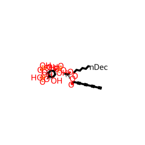 C#CC#CC#CC#CC(=O)OC[C@H](COP(=O)(O)OC1CC(O)[C@@H](OP(=O)(O)O)[C@@H](OP(=O)(O)O)C1O)OC(=O)CCCCCCCCCCCCCCC